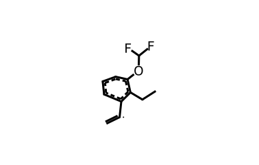 C=[C]c1cccc(OC(F)F)c1CC